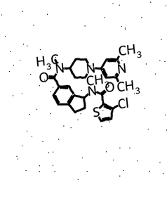 Cc1cc(N2CCC(N(C)C(=O)c3ccc4c(c3)C(N(C)C(=O)c3sccc3Cl)CC4)CC2)cc(C)n1